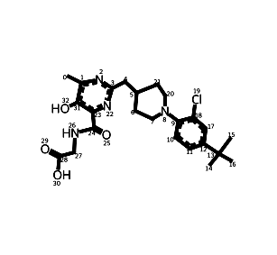 Cc1nc(CC2CCN(c3ccc(C(C)(C)C)cc3Cl)CC2)nc(C(=O)NCC(=O)O)c1O